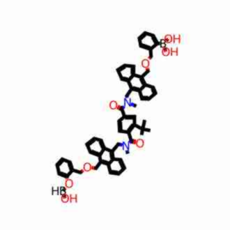 CN(Cc1c2ccccc2c(COCc2ccccc2B(O)O)c2ccccc12)C(=O)c1ccc(C(=O)N(C)Cc2c3ccccc3c(COCc3ccccc3OBO)c3ccccc23)c(C(C)(C)C)c1